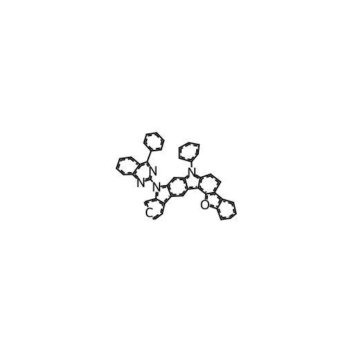 c1ccc(-c2nc(-n3c4ccccc4c4cc5c6c7oc8ccccc8c7ccc6n(-c6ccccc6)c5cc43)nc3ccccc23)cc1